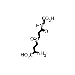 NC(CC[S+]([O-])CCC(=O)NCC(=O)O)C(=O)O